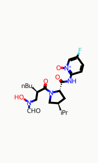 CCCC[C@H](CN(O)C=O)C(=O)N1C[C@H](C(C)C)C[C@H]1C(=O)Nc1ccc(F)c[n+]1[O-]